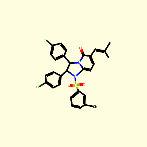 CC(C)=Cc1ccc2n(c1=O)C(c1ccc(Cl)cc1)C(c1ccc(Cl)cc1)N2S(=O)(=O)c1cccc(C#N)c1